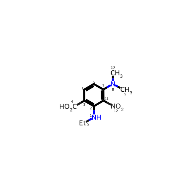 CCNc1c(C(=O)O)ccc(N(C)C)c1[N+](=O)[O-]